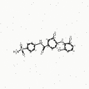 NS(=O)(=O)c1ccc(NC(=O)c2ccc(Oc3c(Cl)cccc3Cl)c(Cl)c2)cc1